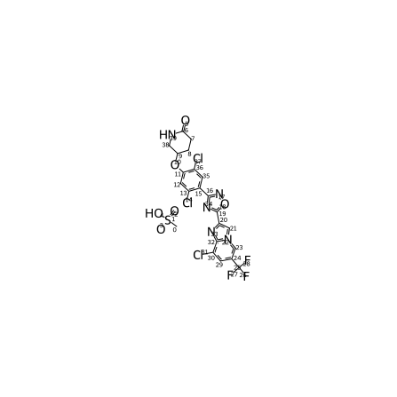 CS(=O)(=O)O.O=C1CCC(Oc2cc(Cl)c(-c3noc(-c4cn5cc(C(F)(F)F)cc(Cl)c5n4)n3)cc2Cl)CN1